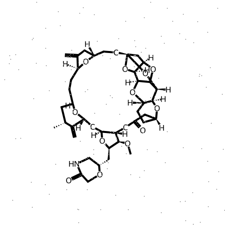 C=C1C[C@@H]2CC[C@@]34C[C@H]5OC6[C@@H](O[C@H]7CC[C@H](CC(=O)C[C@@H]8[C@@H](OC)[C@@H](C[C@H]9CNC(=O)CO9)O[C@H]8C[C@H]8O[C@@H](CC[C@@H]1O2)C[C@@H](C)C8=C)O[C@@H]7[C@@H]6O3)[C@H]5O4